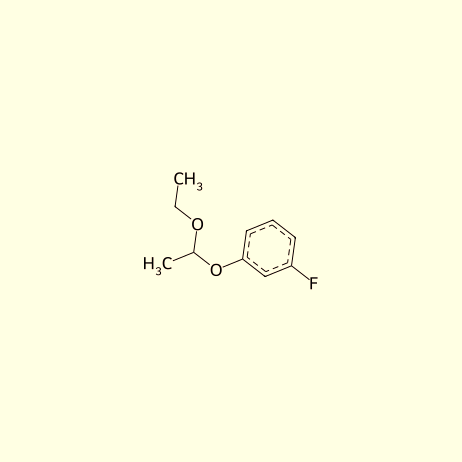 CCOC(C)Oc1cccc(F)c1